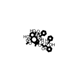 COC(=O)O[C@]12CO[C@H]1C[C@@H](O)[C@]1(C)C(=O)[C@@H](OC(C)=O)C3=C(C)[C@H](OC(=O)[C@@H](O)[C@H](NC(O)c4ccccc4)c4ccccc4)C[C@](O)([C@H](OC(=O)c4ccccc4)C21)C3(C)C